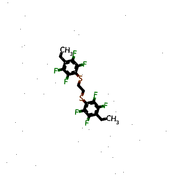 CCc1c(F)c(F)c(SCCSc2c(F)c(F)c(CC)c(F)c2F)c(F)c1F